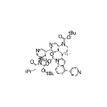 CC(C)CC(=O)N(C(=O)OC(C)(C)C)c1cncc(-c2cc3c(cn2)N(C(=O)OC(C)(C)C)C[C@H](C)C3c2cc3c(-c4ccncc4)cccc3n2C(=O)OC(C)(C)C)c1